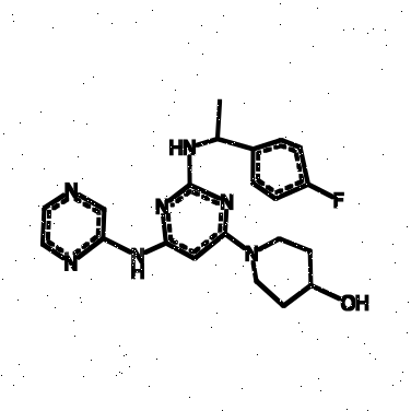 CC(Nc1nc(Nc2cnccn2)cc(N2CCC(O)CC2)n1)c1ccc(F)cc1